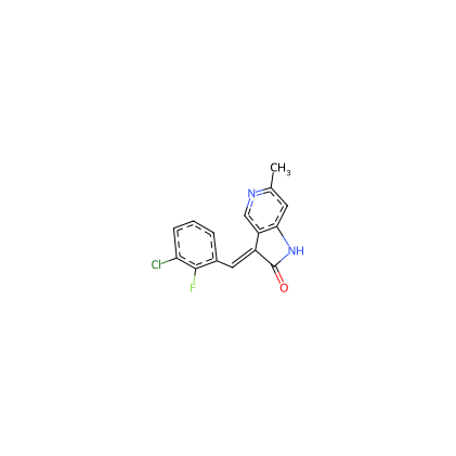 Cc1cc2c(cn1)C(=Cc1cccc(Cl)c1F)C(=O)N2